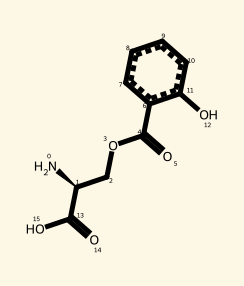 N[C@@H](COC(=O)c1ccccc1O)C(=O)O